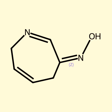 O/N=C1\C=NCC=CC1